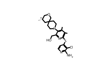 Cc1c(Sc2ccnc(N)c2Cl)nc(CO)c(N2CCC3(CC2)COC[C@@H](C)C3)c1C